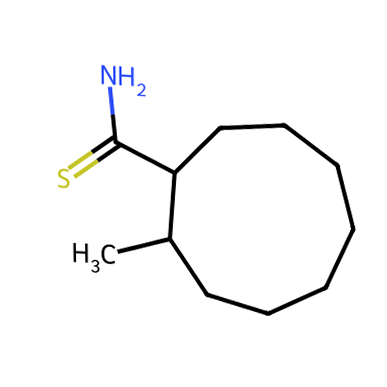 CC1CCCCCCCC1C(N)=S